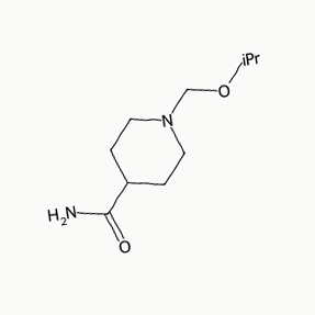 CC(C)OCN1CCC(C(N)=O)CC1